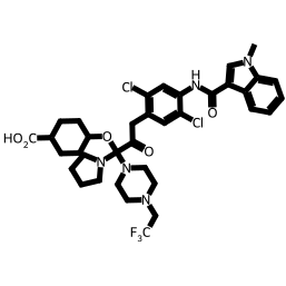 Cn1cc(C(=O)Nc2cc(Cl)c(CC(=O)C(OC3CCC(C(=O)O)CC3)(N3CCCC3)N3CCN(CC(F)(F)F)CC3)cc2Cl)c2ccccc21